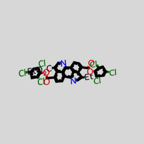 CCOC(=O)c1cnc2c3ccc(C(=O)Oc4c(Cl)cc(Cl)cc4Cl)c4c(CC)cnc(c5ccc(C(=O)Oc6c(Cl)cc(Cl)cc6Cl)c1c52)c43